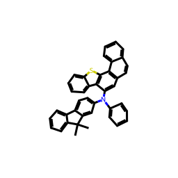 CC1(C)c2ccccc2-c2ccc(N(c3ccccc3)c3cc4ccc5ccccc5c4c4sc5ccccc5c34)cc21